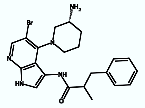 CC(Cc1ccccc1)C(=O)Nc1c[nH]c2ncc(Br)c(N3CCC[C@@H](N)C3)c12